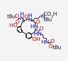 CC(C)(C)OC(=O)NCCCNC(=O)[C@@H]1Cc2cc(ccc2O)-c2ccc(O)c(c2)C[C@H](NC(=O)OC(C)(C)C)C(=O)N[C@@H](CCCN(C(=O)O)C(C)(C)C)C(=O)N1